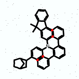 CC1(C)c2ccccc2-c2ccc(N(c3ccc(C4CC5CCC4C5)cc3)c3c(-c4ccccc4)cccc3-c3ccccc3)cc21